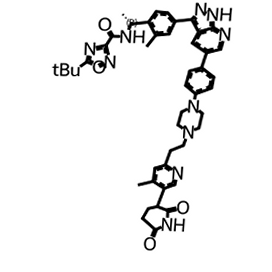 Cc1cc(CCN2CCN(c3ccc(-c4cnc5[nH]nc(-c6ccc([C@@H](C)NC(=O)c7noc(C(C)(C)C)n7)c(C)c6)c5c4)cc3)CC2)ncc1C1CCC(=O)NC1=O